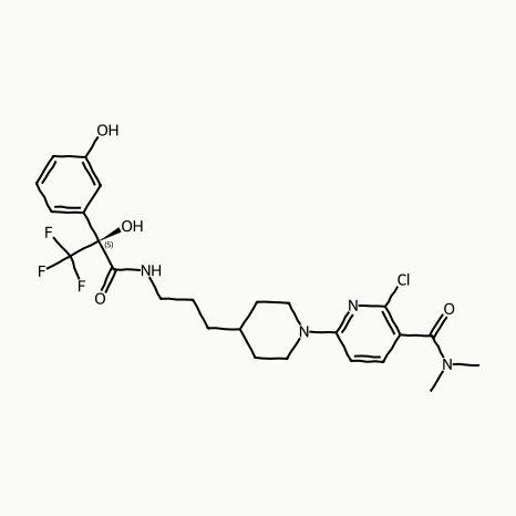 CN(C)C(=O)c1ccc(N2CCC(CCCNC(=O)[C@@](O)(c3cccc(O)c3)C(F)(F)F)CC2)nc1Cl